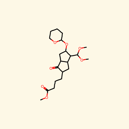 COC(=O)CCCC1CC2C(CC(OC3CCCCO3)C2C(OC)OC)C1=O